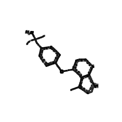 Cc1c[nH]c2nccc(Oc3ccc(C(C)(C)N)cc3)c12